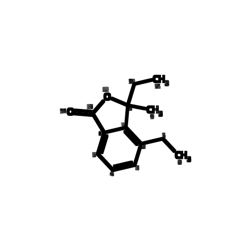 CCc1cccc2c1C(C)(CC)OC2=O